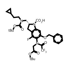 CC(C)(C)OC(=O)CN(C(=O)C(F)(F)F)c1c(OCc2ccccc2)cc2c(c1F)C[C@H](CN(CCC1CC1)C(=O)OC(C)(C)C)N2C(=O)O